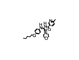 C1COCCN1.CCCCCOc1ccc(NC(=S)NC(=O)c2ccc(C)nc2)cc1